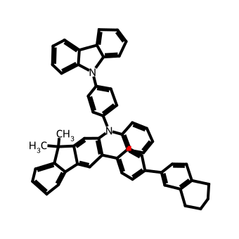 CC1(C)c2ccccc2-c2cc(-c3ccc(-c4ccc5c(c4)CCCC5)cc3)c(N(c3ccccc3)c3ccc(-n4c5ccccc5c5ccccc54)cc3)cc21